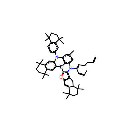 C=CCC/C=C(\C=C/C)N1c2cc(C)cc3c2B(c2cc4c(cc2N3c2ccc3c(c2)C(C)(C)CCC3(C)C)C(C)(C)CCC4(C)C)c2oc3c(c21)CC1C(=C3)C(C)(C)CCC1(C)C